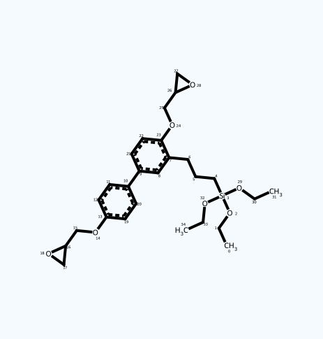 CCO[Si](CCCc1cc(-c2ccc(OCC3CO3)cc2)ccc1OCC1CO1)(OCC)OCC